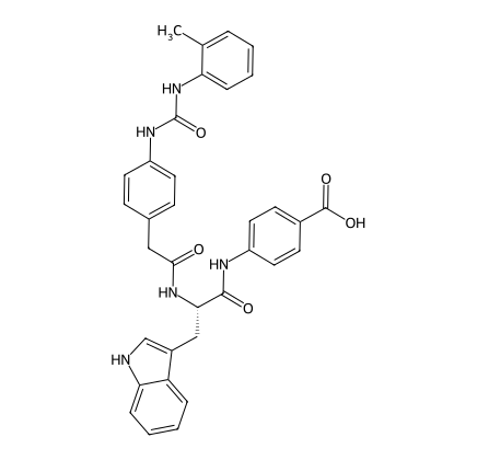 Cc1ccccc1NC(=O)Nc1ccc(CC(=O)N[C@@H](Cc2c[nH]c3ccccc23)C(=O)Nc2ccc(C(=O)O)cc2)cc1